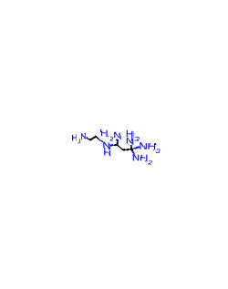 NCCNC(N)CC(N)(N)N